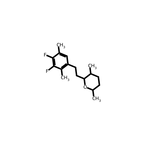 Cc1cc(CCC2OC(C)CCC2C)c(C)c(F)c1F